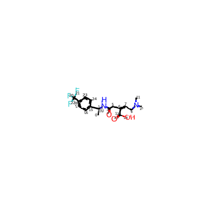 C[C@H](NC(=O)CC(=CCN(C)C)C(=O)O)c1ccc(C(F)(F)F)cc1